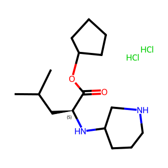 CC(C)C[C@H](NC1CCCNC1)C(=O)OC1CCCC1.Cl.Cl